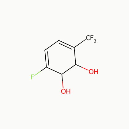 OC1C(F)=CC=C(C(F)(F)F)C1O